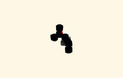 O=c1c2cc(-c3ccccc3)ccc2sc2ccc(-c3cc(-c4ccccc4)cc(-c4ccccc4)c3)cc12